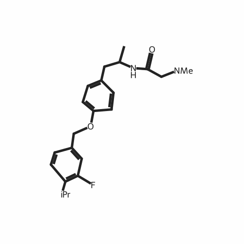 CNCC(=O)NC(C)Cc1ccc(OCc2ccc(C(C)C)c(F)c2)cc1